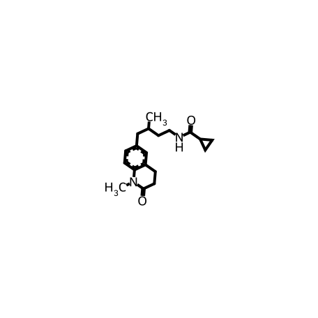 CC(CCNC(=O)C1CC1)Cc1ccc2c(c1)CCC(=O)N2C